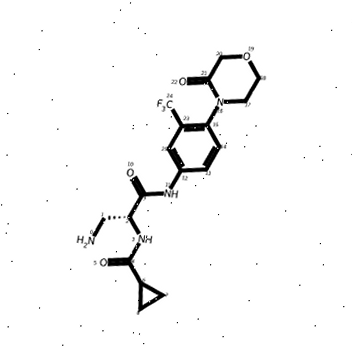 NC[C@@H](NC(=O)C1CC1)C(=O)Nc1ccc(N2CCOCC2=O)c(C(F)(F)F)c1